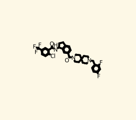 O=C(NC1CCc2ccc(C(=O)N3CCC4(CCN(Cc5ccc(F)cc5F)CC4)CC3)cc21)c1cc(C(F)(F)F)ccc1Cl